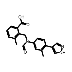 Cc1cc(N(C=O)Cc2c(C)cccc2C(=O)O)ccc1-c1cn[nH]c1